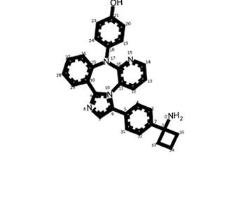 NC1(c2ccc(-c3cnc4n3-c3cccnc3N(c3ccc(O)cc3)c3ccccc3-4)cc2)CCC1